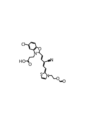 N#CC(=C\C=C1/SC=CN1CCOC=O)/C=C/c1oc2ccc(Cl)cc2[n+]1CCC(=O)O